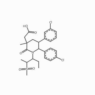 CCC(C(C)S(C)(=O)=O)N1C(=O)C(C)(CC(=O)O)CC(c2cccc(Cl)c2)C1c1ccc(Cl)cc1